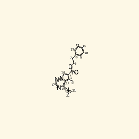 Cc1c(C(=O)OCCc2ccccc2)cn2ncnc(N3CC3)c12